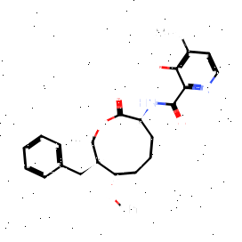 CCCO[C@H]1CCC[C@H](NC(=O)c2nccc(OC)c2O)C(=O)O[C@@H](C)[C@@H]1Cc1ccccc1